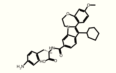 COc1ccc2c(c1)OCCn1c-2c(C2CCCCC2)c2ccc(C(=O)N[C@@H](Cc3ccc(N)cc3)C(=O)O)cc21